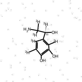 [2H]c1c([2H])c([C@]([2H])(O)C([2H])([2H])N)c([2H])c(O)c1O